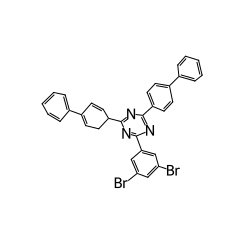 Brc1cc(Br)cc(-c2nc(-c3ccc(-c4ccccc4)cc3)nc(C3C=CC(c4ccccc4)=CC3)n2)c1